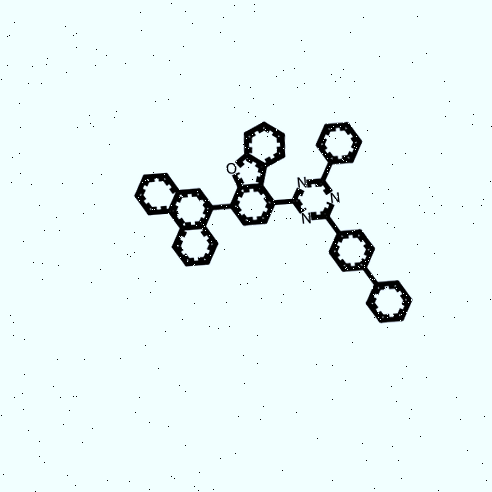 c1ccc(-c2ccc(-c3nc(-c4ccccc4)nc(-c4ccc(-c5cc6ccccc6c6ccccc56)c5oc6ccccc6c45)n3)cc2)cc1